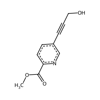 COC(=O)c1ccc(C#CCO)cn1